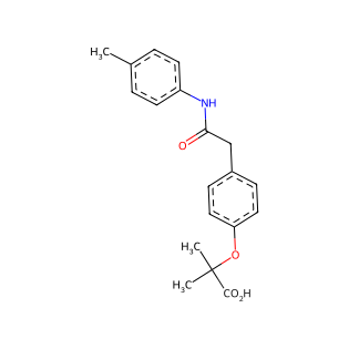 Cc1ccc(NC(=O)Cc2ccc(OC(C)(C)C(=O)O)cc2)cc1